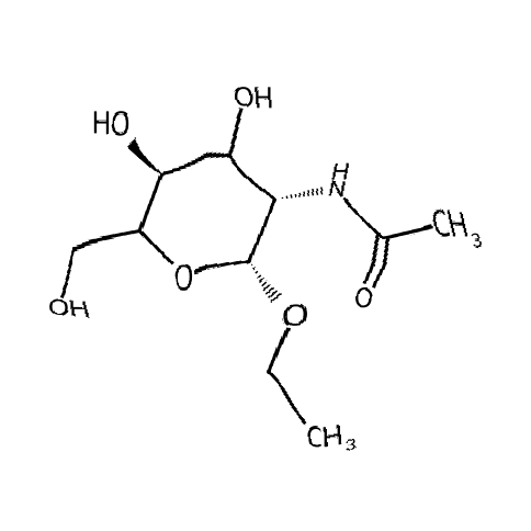 CCO[C@@H]1OC(CO)[C@@H](O)C(O)[C@@H]1NC(C)=O